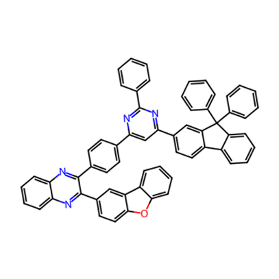 c1ccc(-c2nc(-c3ccc(-c4nc5ccccc5nc4-c4ccc5oc6ccccc6c5c4)cc3)cc(-c3ccc4c(c3)C(c3ccccc3)(c3ccccc3)c3ccccc3-4)n2)cc1